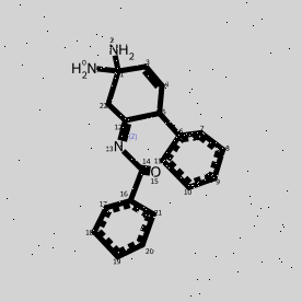 NC1(N)C=CC(c2ccccc2)/C(=N\C(=O)c2ccccc2)C1